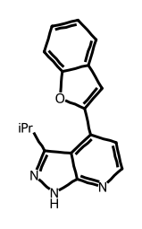 CC(C)c1n[nH]c2nccc(-c3cc4ccccc4o3)c12